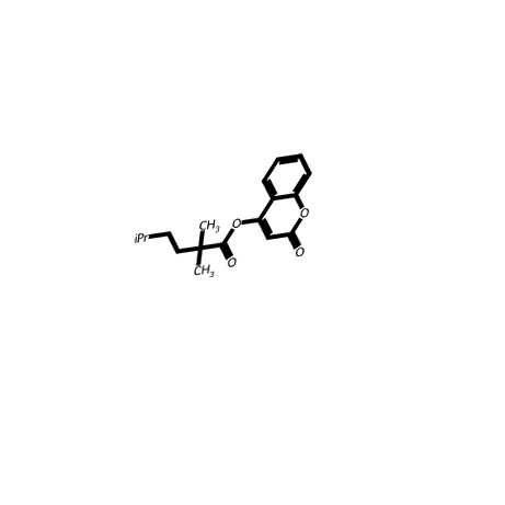 CC(C)CCC(C)(C)C(=O)Oc1cc(=O)oc2ccccc12